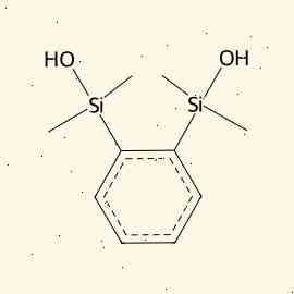 C[Si](C)(O)c1ccccc1[Si](C)(C)O